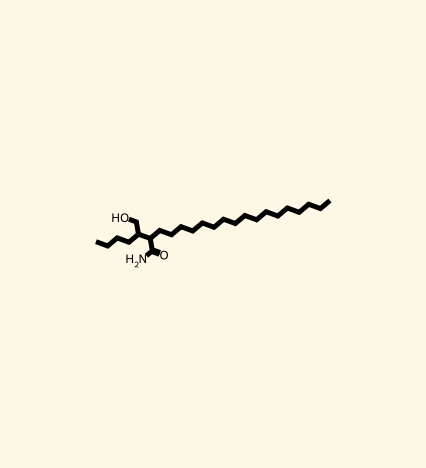 CCCCCCCCCCCCCCCCCC(C(N)=O)C(CO)CCCC